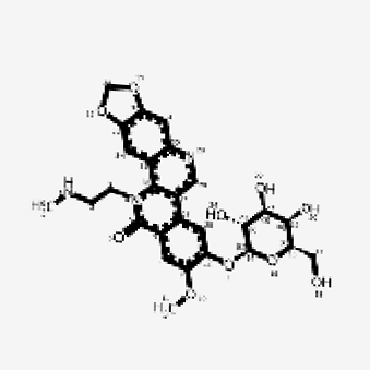 CNCCn1c(=O)c2cc(OC)c(O[C@@H]3O[C@H](CO)[C@H](O)[C@H](O)[C@H]3O)cc2c2cnc3cc4c(cc3c21)OCO4